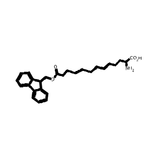 NC(CCCCCCCCCCC(=O)OCC1c2ccccc2-c2ccccc21)C(=O)O